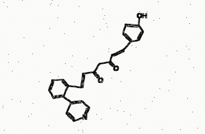 O=C(C=Cc1ccc(O)cc1)CC(=O)C=Cc1ccccc1-c1ccncc1